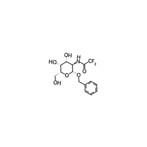 O=C(N[C@H]1[C@H](OCc2ccccc2)O[C@H](CO)[C@H](O)[C@@H]1O)C(F)(F)F